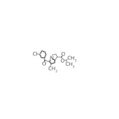 Cc1cc2n(c1C(=O)c1cccc(Cl)c1)CCC2C(=O)OC(C)C